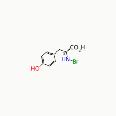 O=C(O)[C@H](Cc1ccc(O)cc1)NBr